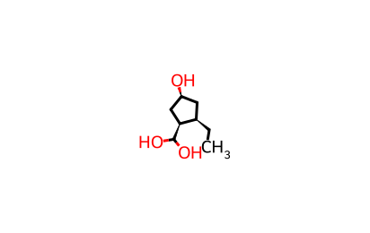 CC[C@@H]1C[C@H](O)C[C@@H]1C(O)O